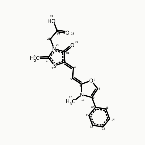 C=c1sc(=CC=C2OC=C(c3ccccc3)N2C)c(=O)n1CC(=O)O